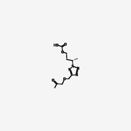 CC(=O)COCc1nnn([C@@H](C)CCOC(=O)O)n1